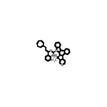 CC1(C)c2cnccc2-c2c1c1c(c3ccccc23)c2ccccc2n1/C(N)=N/C(=C\CC1=CCC=CC=C1)c1ccccc1